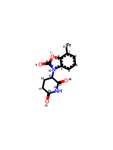 CC(C)c1cccc2c1oc(=O)n2C1CCC(=O)NC1=O